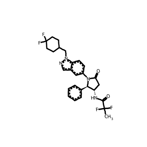 CC(F)(F)C(=O)N[C@H]1CC(=O)N(c2ccc3c(cnn3CC3CCC(F)(F)CC3)c2)[C@@H]1c1ccccc1